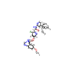 COc1ccc2ncnc(Oc3cnc(CC(=O)Nc4cc(C(C)(C)C)ccn4)c(F)c3)c2c1